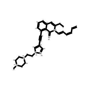 C=C/C=C\C=C\n1c(CC)cc2cccc(C#Cc3cnn(CCN4CCN(C)CC4)c3)c2c1=O